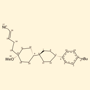 CCCCc1ccc([C@H]2CC[C@H]([C@H]3CC[C@@](CCC=CC#N)(OC)CC3)CC2)cc1